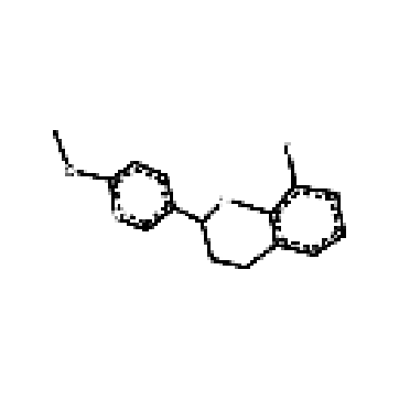 COc1ccc(C2CCc3cccc(F)c3O2)cn1